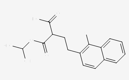 CC(=O)C(CCc1ccc2ccccc2c1Cl)C(=O)OC(C)C